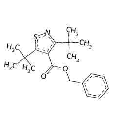 CC(C)(C)c1nsc(C(C)(C)C)c1C(=O)OCc1ccccc1